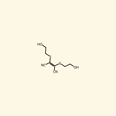 N#C/C(SCCO)=C(\C#N)SCCO